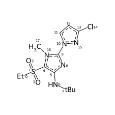 CCS(=O)(=O)c1c(NC(C)(C)C)nc(-n2ccc(Cl)n2)n1C